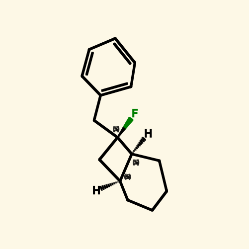 F[C@]1(Cc2ccccc2)C[C@@H]2CCCC[C@@H]21